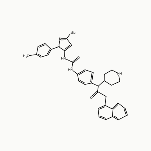 Cc1ccc(-n2nc(C(C)(C)C)cc2NC(=O)Nc2ccc(C(C(=O)Cc3cccc4ccccc34)C3CCNCC3)cc2)cc1